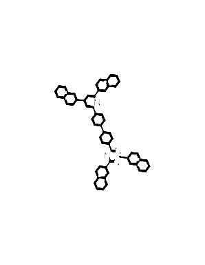 c1ccc2cc(-c3cc(-c4ccc(-c5ccc(-c6nc(-c7ccc8ccccc8c7)nc(-c7ccc8ccccc8c7)n6)cc5)cc4)nc(-c4ccc5ccccc5c4)c3)ccc2c1